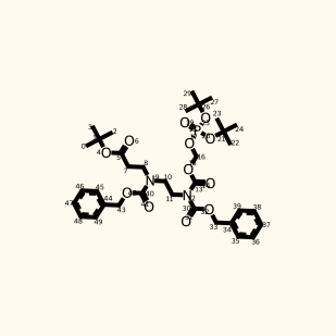 CC(C)(C)OC(=O)CCN(CCN(C(=O)OCOP(=O)(OC(C)(C)C)OC(C)(C)C)C(=O)OCc1ccccc1)C(=O)OCc1ccccc1